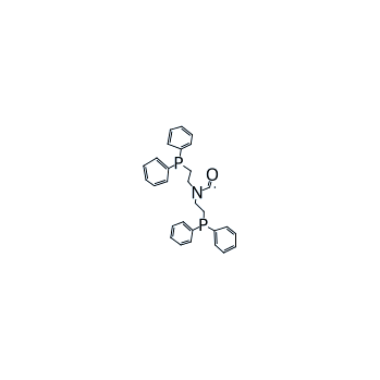 O=[C]N(CCP(c1ccccc1)c1ccccc1)CCP(c1ccccc1)c1ccccc1